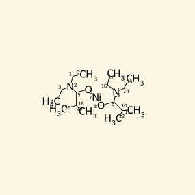 CCN(CC)C([O][Ni][O]C(C(C)C)N(CC)CC)C(C)C